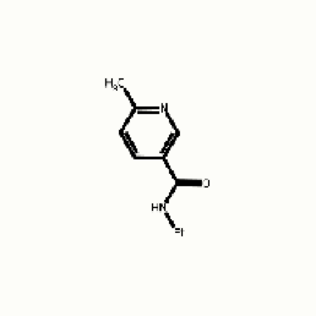 CCNC(=O)c1ccc(C)nc1